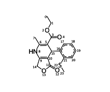 CCOC(=O)C1=C(C)NC2=C(C(=O)OC2)C1c1ccccc1SC